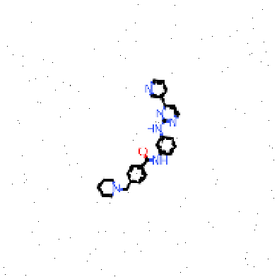 O=C(Nc1cccc(Nc2nccc(-c3cccnc3)n2)c1)c1ccc(CN2CCCCC2)cc1